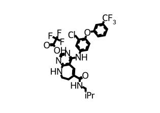 CC(C)CNC(=O)C1=Cc2c(ncnc2Nc2ccc(Oc3cccc(C(F)(F)F)c3)c(Cl)c2)NCC1.O=C(O)C(F)(F)F